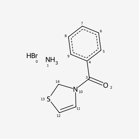 Br.N.O=C(c1ccccc1)N1C=CSC1